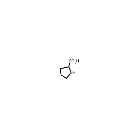 O=C(O)C1C[N]CN1